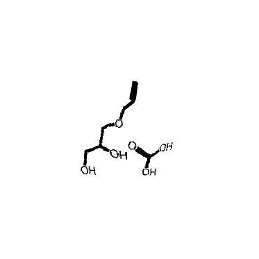 C=CCOCC(O)CO.O=C(O)O